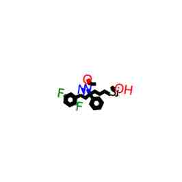 CC(=O)N1N=C(c2cc(F)ccc2F)CC1(CCCC[Si](C)(C)O)c1ccccc1